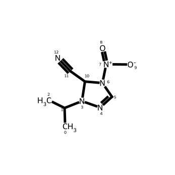 CC(C)N1N=CN([N+](=O)[O-])C1C#N